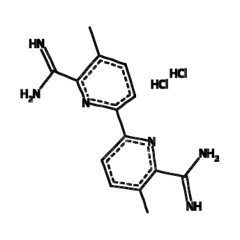 Cc1ccc(-c2ccc(C)c(C(=N)N)n2)nc1C(=N)N.Cl.Cl